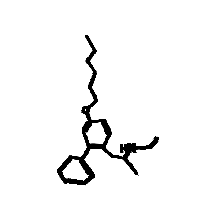 CCCCCCOc1ccc(CC(C)NCC)c(-c2ccccc2)c1